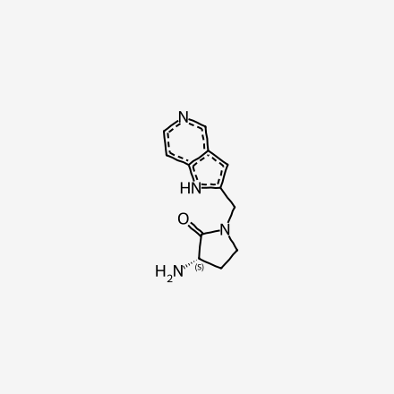 N[C@H]1CCN(Cc2cc3cnccc3[nH]2)C1=O